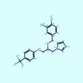 FC(F)(F)c1ccc(SCC(Cn2ccnc2)SCc2ccc(Cl)c(Cl)c2)cc1